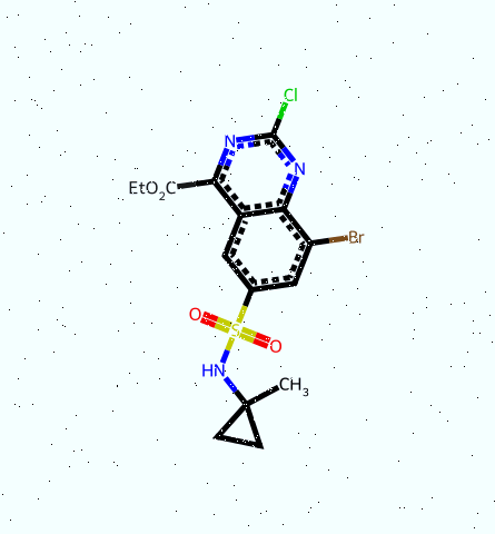 CCOC(=O)c1nc(Cl)nc2c(Br)cc(S(=O)(=O)NC3(C)CC3)cc12